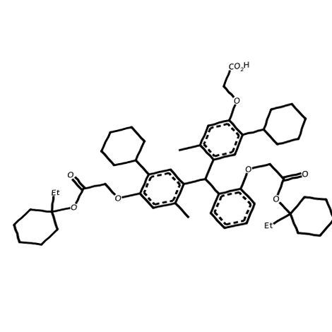 CCC1(OC(=O)COc2cc(C)c(C(c3cc(C4CCCCC4)c(OCC(=O)O)cc3C)c3ccccc3OCC(=O)OC3(CC)CCCCC3)cc2C2CCCCC2)CCCCC1